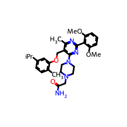 COc1cccc(OC)c1-c1nc(C)c(COc2cc(C(C)C)ccc2C)c(N2CCN(CC(N)=O)CC2)n1